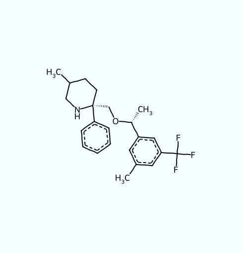 Cc1cc([C@@H](C)OC[C@@]2(c3ccccc3)CCC(C)CN2)cc(C(F)(F)F)c1